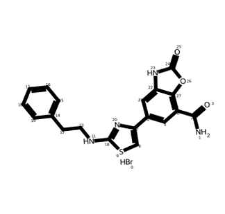 Br.NC(=O)c1cc(-c2csc(NCCc3ccccc3)n2)cc2[nH]c(=O)oc12